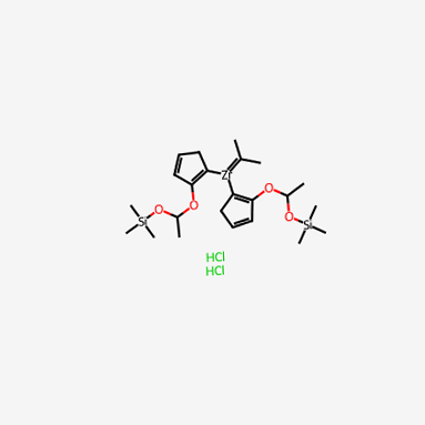 C[C](C)=[Zr]([C]1=C(OC(C)O[Si](C)(C)C)C=CC1)[C]1=C(OC(C)O[Si](C)(C)C)C=CC1.Cl.Cl